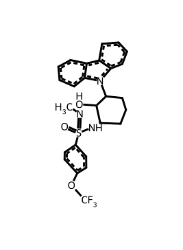 CN=S(=O)(NC1CCCC(n2c3ccccc3c3ccccc32)C1O)c1ccc(OC(F)(F)F)cc1